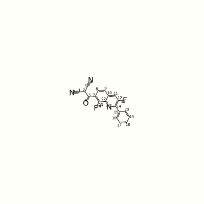 N#CC(C#N)C(=O)c1ccc2cc(F)c(-c3ccccc3)nc2c1F